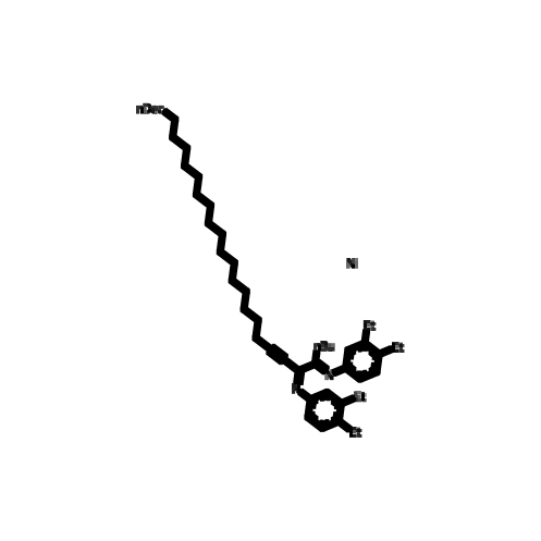 CCCCCCCCCCCCCCCCCCCCCCCCCCC#CC(=Nc1ccc(CC)c(CC)c1)C(CCCC)=Nc1ccc(CC)c(CC)c1.[Ni]